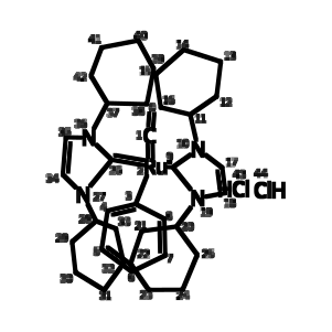 C=[C]=[Ru]([c]1ccccc1)(=[c]1n(C2CCCCC2)ccn1C1CCCCC1)=[c]1n(C2CCCCC2)ccn1C1CCCCC1.Cl.Cl